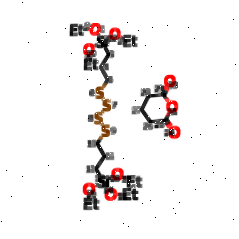 CCO[Si](CCCSSSSCCC[Si](OCC)(OCC)OCC)(OCC)OCC.O=C1CCCC(=O)O1